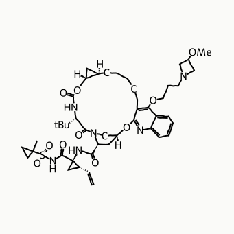 C=C[C@@H]1C[C@]1(NC(=O)[C@@H]1C[C@@H]2CN1C(=O)[C@H](C(C)(C)C)NC(=O)O[C@@H]1C[C@H]1CCCCCc1c(nc3ccccc3c1OCCCN1CC(OC)C1)O2)C(=O)NS(=O)(=O)C1(C)CC1